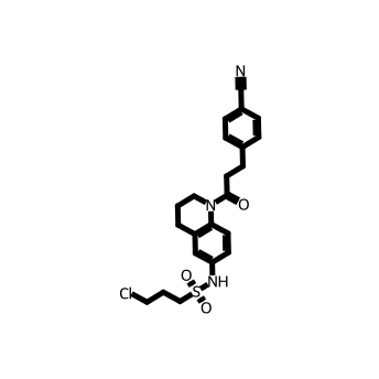 N#Cc1ccc(CCC(=O)N2CCCc3cc(NS(=O)(=O)CCCCl)ccc32)cc1